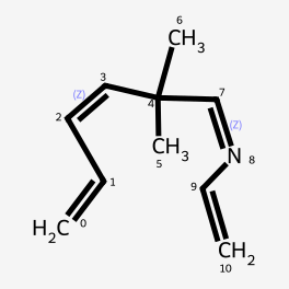 C=C/C=C\C(C)(C)/C=N\C=C